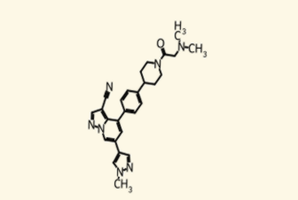 CN(C)CC(=O)N1CCC(c2ccc(-c3cc(-c4cnn(C)c4)cn4ncc(C#N)c34)cc2)CC1